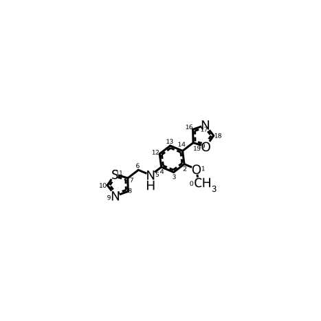 COc1cc(NCc2cncs2)ccc1-c1cnco1